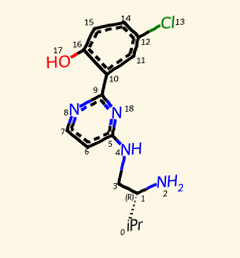 CC(C)[C@@H](N)CNc1ccnc(-c2cc(Cl)ccc2O)n1